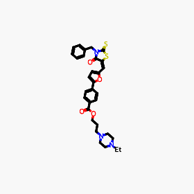 CCN1CCN(CCCOC(=O)c2ccc(-c3ccc(/C=C4/SC(=S)N(Cc5ccccc5)C4=O)o3)cc2)CC1